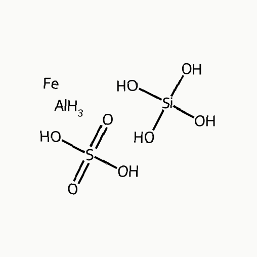 O=S(=O)(O)O.O[Si](O)(O)O.[AlH3].[Fe]